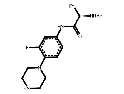 CC(=O)N[C@@H](C(=O)Nc1ccc(N2CCNCC2)c(F)c1)C(C)C